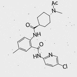 CC(=O)N(C)[C@H]1CC[C@H](C(=O)Nc2ccc(C)cc2C(=O)Nc2ccc(Cl)cn2)CC1